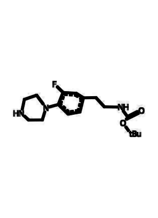 CC(C)(C)OC(=O)NCCc1ccc(N2CCNCC2)c(F)c1